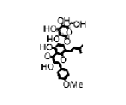 COc1ccc(-c2oc3c(CC=C(C)C)c(O[C@H]4O[C@H](CO)[C@H](O)[C@H](O)[C@H]4O)cc(O)c3c(=O)c2O)cc1